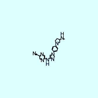 CNC1CCN(c2ccc(-n3cnc(Nc4cnc(C#N)cn4)c3)cc2)C1